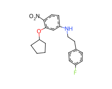 O=[N+]([O-])c1ccc(NCCc2ccc(F)cc2)cc1OC1CCCC1